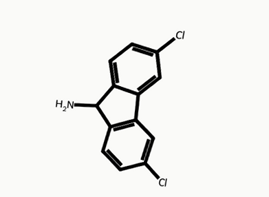 NC1c2ccc(Cl)cc2-c2cc(Cl)ccc21